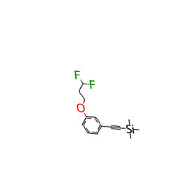 C[Si](C)(C)C#Cc1cccc(OCCC(F)F)c1